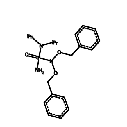 CC(C)N(C(C)C)P(N)(=O)N(OCc1ccccc1)OCc1ccccc1